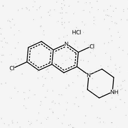 Cl.Clc1ccc2nc(Cl)c(N3CCNCC3)cc2c1